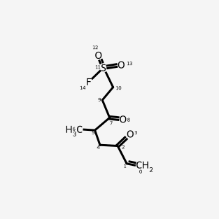 C=CC(=O)CC(C)C(=O)CCS(=O)(=O)F